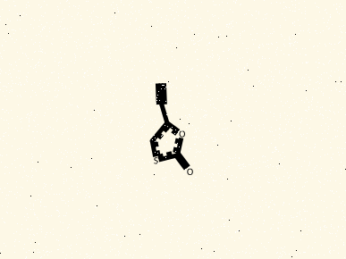 C#Cc1csc(=O)o1